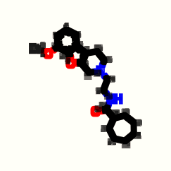 CCOc1cccc2c3c(oc12)CN(CCNC(=O)C1CCCCCC1)CC3